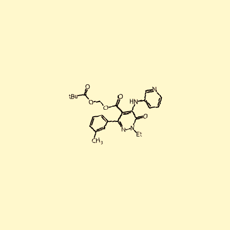 CCn1nc(-c2cccc(C)c2)c(C(=O)OCOC(=O)C(C)(C)C)c(Nc2cccnc2)c1=O